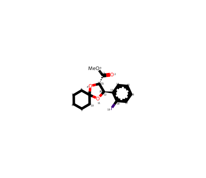 COC(=O)[C@H]1OC2(CCCCC2)O[C@@H]1c1ccccc1I